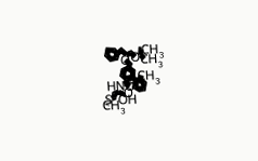 CCC(C)OCC(CC1CCCCC1)OCc1ccc(C(=O)NC(CCSC)C(=O)O)c(-c2ccccc2C)c1